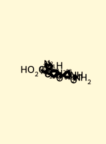 NC(=O)Nc1ccc(C(=O)Nc2ccc(OC(CC(=O)O)c3cccnc3)cc2)cc1